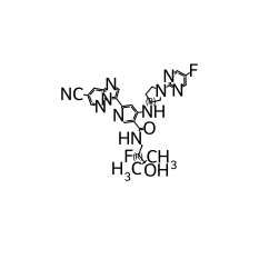 CC(C)(O)[C@H](F)CNC(=O)c1cnc(-c2cnc3cc(C#N)cnn23)cc1N[C@@H]1CCN(c2ncc(F)cn2)C1